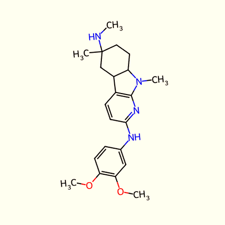 CNC1(C)CCC2C(C1)c1ccc(Nc3ccc(OC)c(OC)c3)nc1N2C